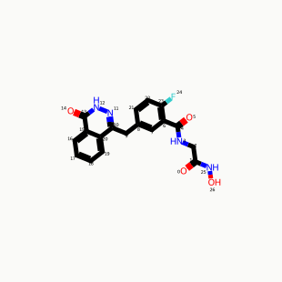 O=C(CNC(=O)c1cc(Cc2n[nH]c(=O)c3ccccc23)ccc1F)NO